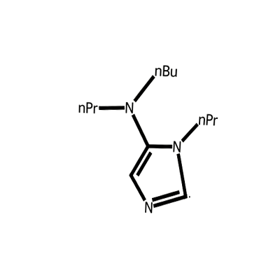 CCCCN(CCC)c1cn[c]n1CCC